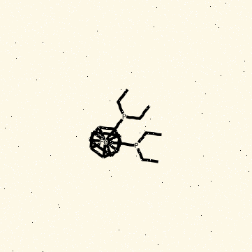 CCP(CC)[C]12[CH]3[CH]4[CH]5[C]1(P(CC)CC)[Fe]43521678[CH]2[CH]1[CH]6[CH]7[CH]28